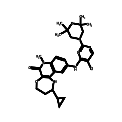 Cn1c(=O)c2c(c3cc(Nc4nc(N5CC(C)(C)OC(C)(C)C5)ncc4Cl)ccc31)NC(C1CC1)CCO2